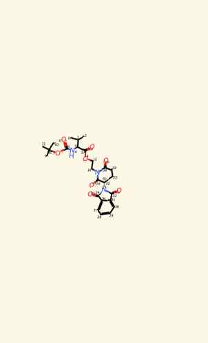 CC(C)C(NC(=O)OC(C)(C)C)C(=O)OCCN1C(=O)CC[C@H](N2C(=O)c3ccccc3C2=O)C1=O